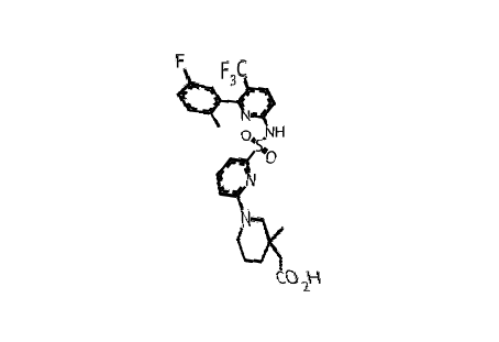 Cc1ccc(F)cc1-c1nc(NS(=O)(=O)c2cccc(N3CCCC(C)(CC(=O)O)C3)n2)ccc1C(F)(F)F